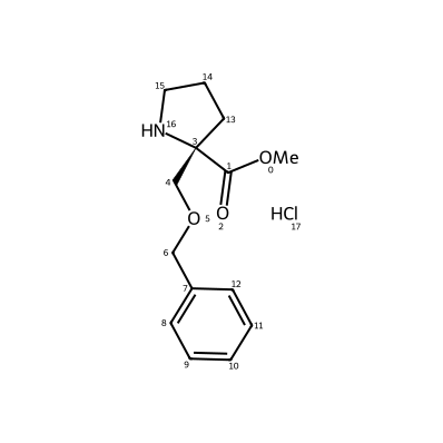 COC(=O)[C@@]1(COCc2ccccc2)CCCN1.Cl